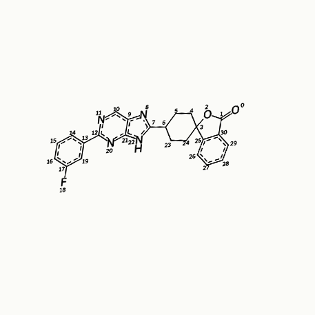 O=C1OC2(CCC(c3nc4cnc(-c5cccc(F)c5)nc4[nH]3)CC2)c2ccccc21